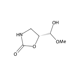 COC(O)[C@H]1CNC(=O)O1